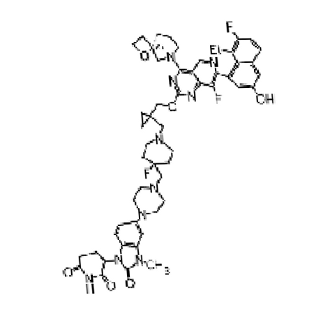 CCc1c(F)ccc2cc(O)cc(-c3ncc4c(N5CCC[C@]6(CCO6)C5)nc(OCC5(CN6CCC(F)(CN7CCN(c8ccc9c(c8)n(C)c(=O)n9C8CCC(=O)NC8=O)CC7)CC6)CC5)nc4c3F)c12